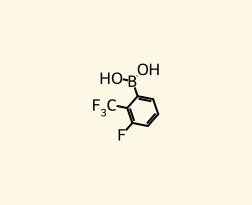 OB(O)c1cccc(F)c1C(F)(F)F